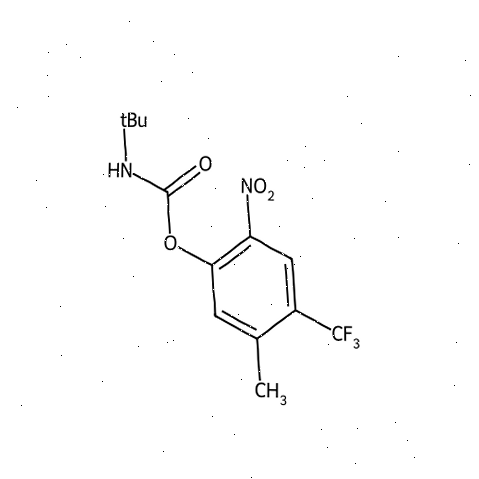 Cc1cc(OC(=O)NC(C)(C)C)c([N+](=O)[O-])cc1C(F)(F)F